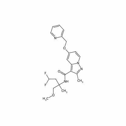 COCC(C)(CC(F)F)NC(=O)c1c(C)nn2ccc(OCc3ccccn3)cc12